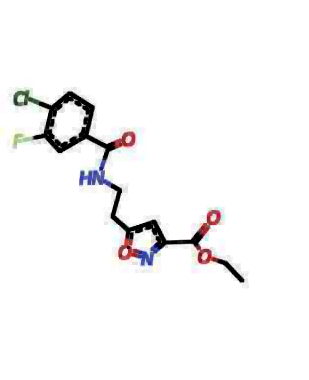 CCOC(=O)c1cc(CCNC(=O)c2ccc(Cl)c(F)c2)on1